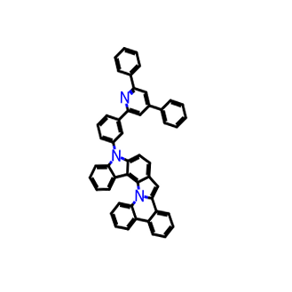 c1ccc(-c2cc(-c3ccccc3)nc(-c3cccc(-n4c5ccccc5c5c4ccc4cc6c7ccccc7c7ccccc7n6c45)c3)c2)cc1